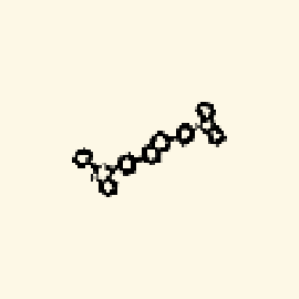 c1ccc(-c2nc(-c3ccc(-c4ccc5cc(-c6ccc(-n7c8ccccc8c8ccccc87)cc6)ccc5c4)cc3)c3ccccc3n2)cc1